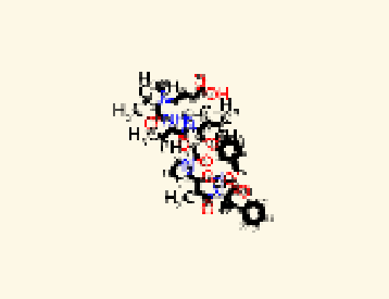 CC[C@H](C)[C@@H]([C@@H](CC(=O)N1CCC[C@H]1[C@H](OC)[C@@H](C)C(=O)N[C@@]1(C(=O)OCc2ccccc2)C[C@@H]1c1ccccc1)OC)N(C)C(=O)[C@@H](NC(=O)[C@H](C(C)C)N(C)CCCC(=O)O)C(C)C